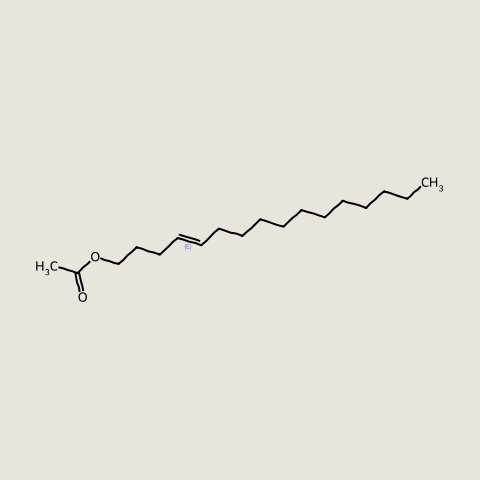 CCCCCCCCCCC/C=C/CCCOC(C)=O